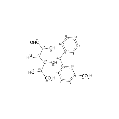 O=C(O)c1cccc(Oc2ccccc2)c1.O=CC(O)C(O)C(O)C(O)C(=O)O